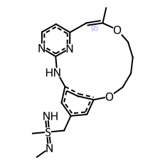 CN=S(C)(=N)Cc1cc2cc(c1)OCCCCO/C(C)=C\c1ccnc(n1)N2